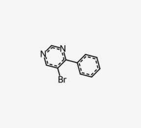 Brc1cncnc1-c1ccccc1